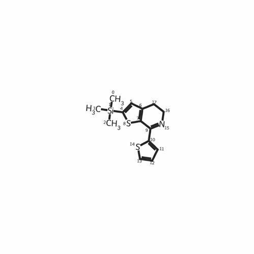 C[Si](C)(C)c1cc2c(s1)C(c1cccs1)=NCC2